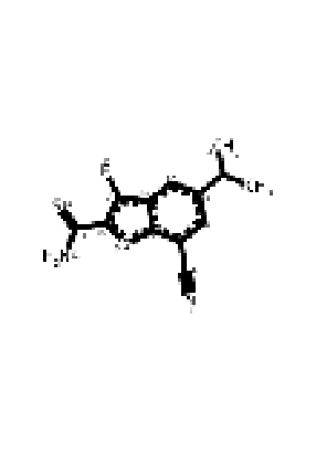 CC(C)c1cc(C#N)c2sc(C(N)=S)c(F)c2c1